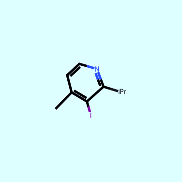 Cc1ccnc(C(C)C)c1I